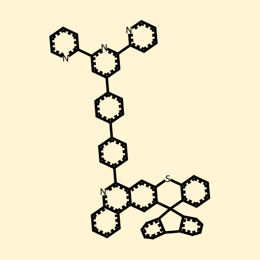 c1ccc(-c2cc(-c3ccc(-c4ccc(-c5nc6ccccc6c6cc7c(cc56)Sc5ccccc5C75c6ccccc6-c6ccccc65)cc4)cc3)cc(-c3ccccn3)n2)nc1